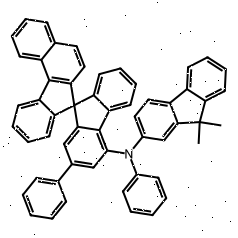 CC1(C)c2ccccc2-c2ccc(N(c3ccccc3)c3cc(-c4ccccc4)cc4c3-c3ccccc3C43c4ccccc4-c4c3ccc3ccccc43)cc21